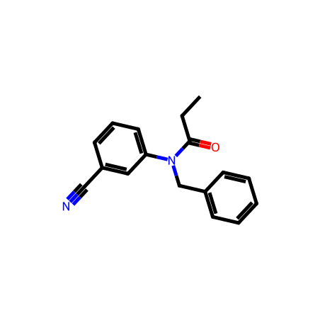 CCC(=O)N(Cc1ccccc1)c1cccc(C#N)c1